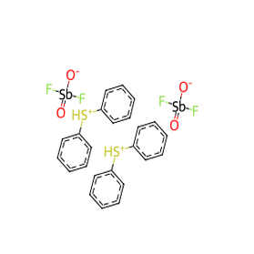 [O]=[Sb]([O-])([F])[F].[O]=[Sb]([O-])([F])[F].c1ccc([SH+]c2ccccc2)cc1.c1ccc([SH+]c2ccccc2)cc1